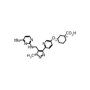 Cn1nnc(-c2ccc(O[C@H]3CCC[C@H](C(=O)O)C3)cn2)c1CNc1nccc(C(C)(C)C)n1